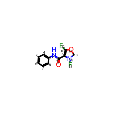 O=C(Nc1ccccc1)C1=C(F)O[CH]N1F